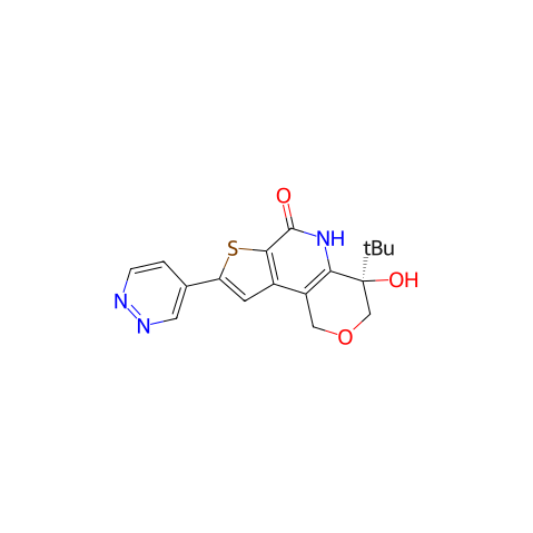 CC(C)(C)[C@]1(O)COCc2c1[nH]c(=O)c1sc(-c3ccnnc3)cc21